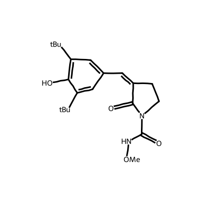 CONC(=O)N1CCC(=Cc2cc(C(C)(C)C)c(O)c(C(C)(C)C)c2)C1=O